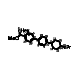 CCCCCCC(OC)c1ccc(-c2ccc(C3CCC(CCC)CC3)cc2)cc1